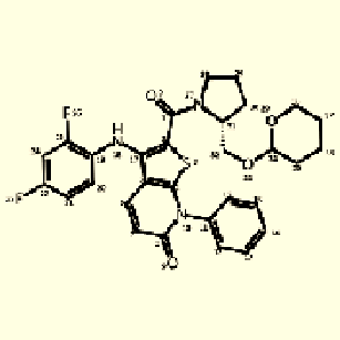 O=C(c1sc2c(ccc(=O)n2-c2ccccc2)c1Nc1ccc(F)cc1F)N1CCC[C@@H]1COC1CCCCO1